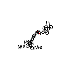 COc1cc(OC)c2c(=O)[nH]c(-c3ccc(N4CCC(CN5CC6CCC5CN6c5ccc6c(c5)C(=O)N(C5CCC(=O)NC5=O)C6=O)CC4)cc3)nc2c1